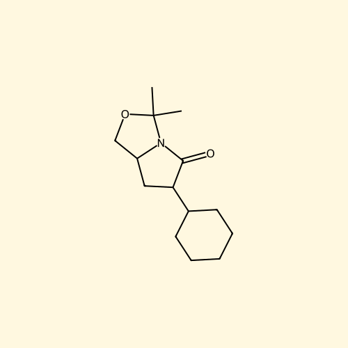 CC1(C)OCC2CC(C3CCCCC3)C(=O)N21